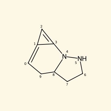 C1=C2C=C2N2NCCC2C1